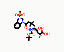 C[C@H](C[C@H](O)[C@H](CC(C)(C)CC(=O)N1CN(S(C)(=O)=O)Cc2ccccc21)NC(=O)OC(C)(C)C)C(=O)O